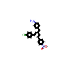 Nc1ccc(C=C(C=Cc2ccc(Cl)cc2)C=Cc2ccc([N+](=O)[O-])cc2)cc1